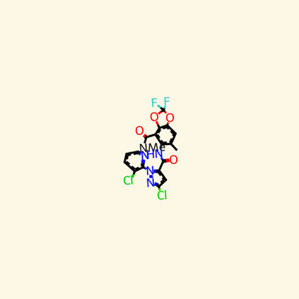 CNC(=O)c1c(NC(=O)c2cc(Cl)nn2-c2ncccc2Cl)c(C)cc2c1OC(F)(F)O2